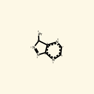 CC(C)C1N=Nc2nccnc21